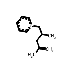 C=C(C)CC(C)C[n+]1ccccc1